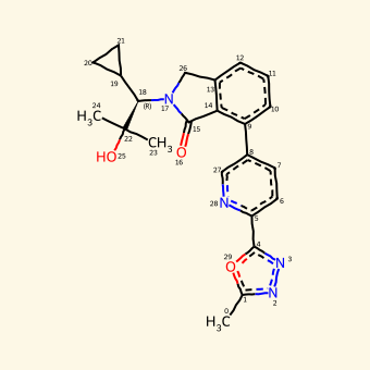 Cc1nnc(-c2ccc(-c3cccc4c3C(=O)N([C@H](C3CC3)C(C)(C)O)C4)cn2)o1